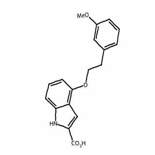 COc1cccc(CCOc2cccc3[nH]c(C(=O)O)cc23)c1